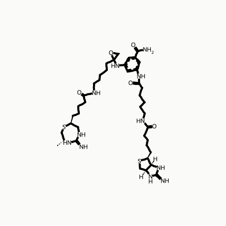 C[C@@H]1CS[C@@H](CCCCC(=O)NCCCCCC2(Nc3cc(NC(=O)CCCCCNC(=O)CCCC[C@@H]4SC[C@@H]5NC(=N)N[C@@H]54)cc(C(N)=O)c3)CO2)CNC(=N)N1